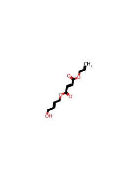 C=CCOC(=O)C=CC(=O)OCC=CCO